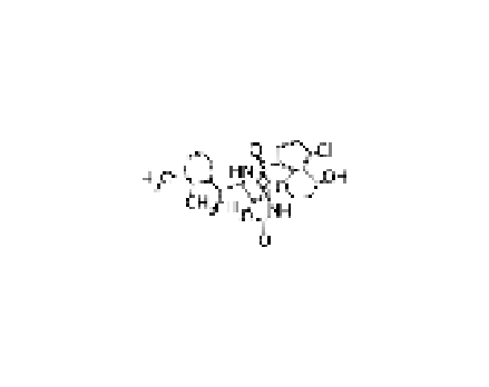 Cc1cccc(C(C)C(NS(=O)(=O)c2ccc(Cl)c3c2OCCC3O)c2n[nH]c(=O)o2)c1C